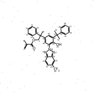 C=C(C)C(=O)OCC(C)(c1ccccc1)c1cc(-n2nc3ccc(C(F)(F)F)cc3n2)c(O)c(C(C)(C)c2ccccc2)c1